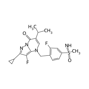 CC(C)c1cn(Cc2ccc(S(C)(=N)=O)cc2F)c2c(F)c(C3CC3)nn2c1=O